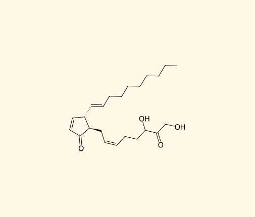 CCCCCCCC/C=C/[C@H]1C=CC(=O)[C@@H]1C/C=C\CCC(O)C(=O)CO